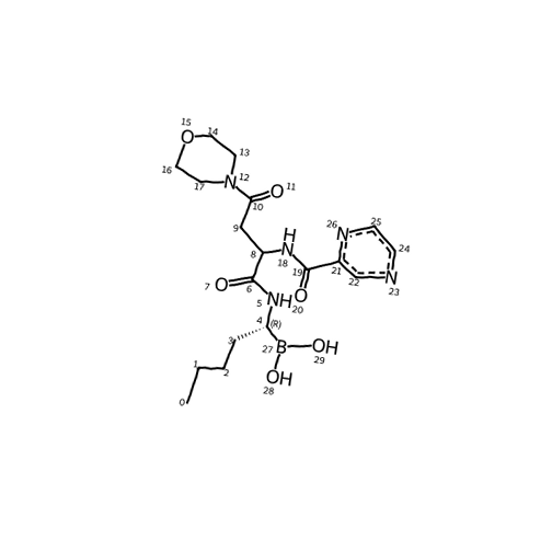 CCCC[C@H](NC(=O)C(CC(=O)N1CCOCC1)NC(=O)c1cnccn1)B(O)O